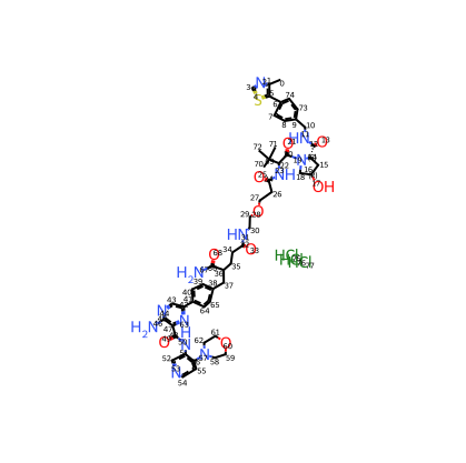 Cc1ncsc1-c1ccc(CNC(=O)[C@@H]2C[C@@H](O)CN2C(=O)C(NC(=O)CCOCCNC(=O)CCC(Cc2ccc(-c3cnc(N)c(C(=O)Nc4cnccc4N4CCOCC4)n3)cc2)C(N)=O)C(C)(C)C)cc1.Cl.Cl.Cl